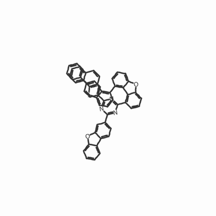 c1ccc(-c2ccc(-c3nc(-c4ccc5c(c4)oc4ccccc45)nc(-c4cccc5oc6cccc(-c7cccc8sc9c%10ccccc%10ccc9c78)c6c45)n3)cc2)cc1